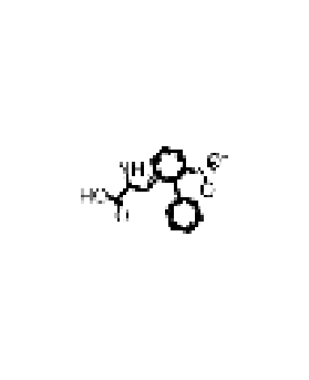 NC(Cc1cccc([N+](=O)[O-])c1-c1ccccc1)C(=O)O